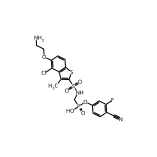 Cc1c(S(=O)(=O)NCP(=O)(O)Oc2ccc(C#N)c(F)c2)sc2ccc(OCCN)c(Cl)c12